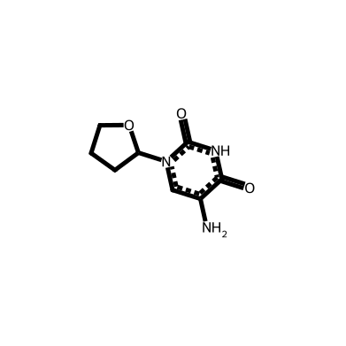 Nc1cn(C2CCCO2)c(=O)[nH]c1=O